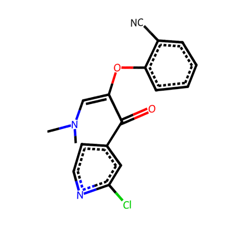 CN(C)/C=C(/Oc1ccccc1C#N)C(=O)c1ccnc(Cl)c1